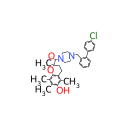 Cc1c(C)c2c(c(C)c1O)CCC(C)(C(=O)N1CCN(Cc3ccccc3-c3ccc(Cl)cc3)CC1)O2